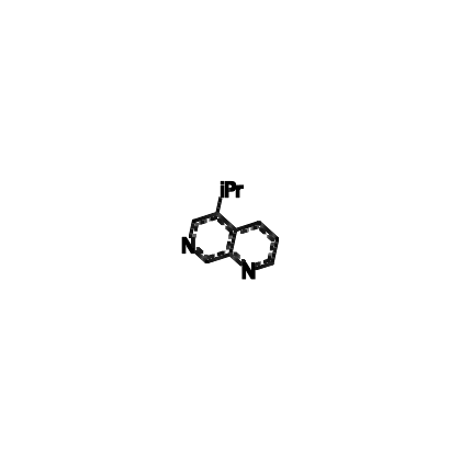 CC(C)c1cncc2ncccc12